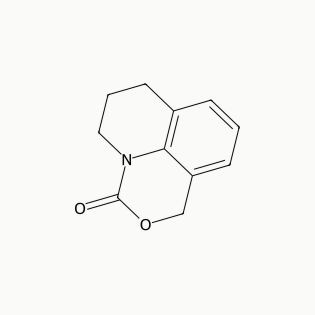 O=C1OCc2cccc3c2N1CCC3